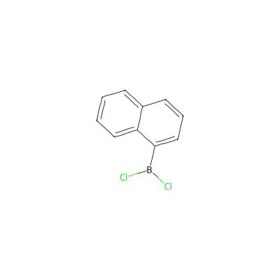 ClB(Cl)c1cccc2ccccc12